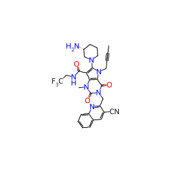 CC#CCn1c(N2CCC[C@@H](N)C2)c(C(=O)NCC(F)(F)F)c2c1c(=O)n(Cc1nc3ccccc3cc1C#N)c(=O)n2C